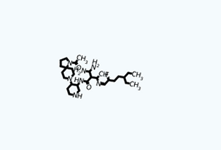 CCC(CC)CCC(F)/C=N\C(C)C(C(=O)NC1CNCCC1N1CCC2(CCCN2C(C)=O)CC1)C(N)N